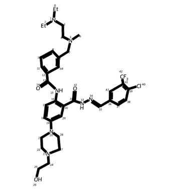 CCN(CC)CCN(C)Cc1cccc(C(=O)Nc2ccc(N3CCN(CCO)CC3)cc2C(=O)N/N=C/c2ccc(Cl)c(C(F)(F)F)c2)c1